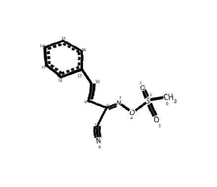 CS(=O)(=O)ON=C(C#N)/C=C/c1ccccc1